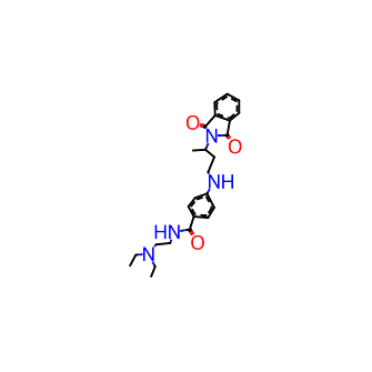 CCN(CC)CCNC(=O)c1ccc(NCCC(C)N2C(=O)c3ccccc3C2=O)cc1